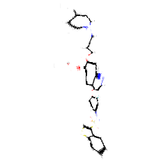 COc1cc2c(Oc3ccc(NS(=O)(=O)c4csc5ccccc45)cc3F)ccnc2cc1OCCCN1CCC(C)CC1